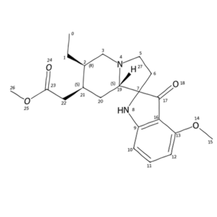 CC[C@H]1CN2CCC3(Nc4cccc(OC)c4C3=O)[C@@H]2C[C@H]1CC(=O)OC